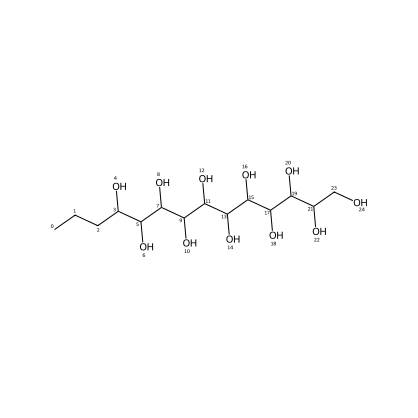 CCCC(O)C(O)C(O)C(O)C(O)C(O)C(O)C(O)C(O)C(O)CO